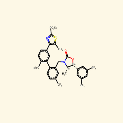 CCOC(=O)c1nc(-c2ccc(OC)c(-c3ccc(C(F)(F)F)cc3CN3C(=O)O[C@H](c4cc(C(F)(F)F)cc(C(F)(F)F)c4)[C@@H]3C)c2)c(C)s1